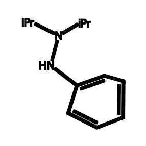 CC(C)N(Nc1ccccc1)C(C)C